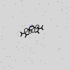 CC(C)C(OC(=O)/C=C\C(=O)OC(C(C)C)C(C)C)C(C)C